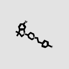 CC1(C)CN(C2CCN(CCc3ccc(F)cc3)CC2)c2cc(Br)ccc21